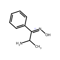 CC(N)/C(=N\O)c1ccccc1